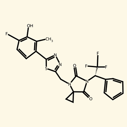 Cc1c(-c2nnc(CN3C(=O)N([C@@H](c4ccccc4)C(F)(F)F)C(=O)C34CC4)s2)ccc(F)c1O